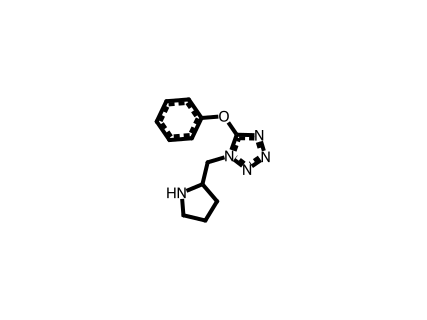 c1ccc(Oc2nnnn2CC2CCCN2)cc1